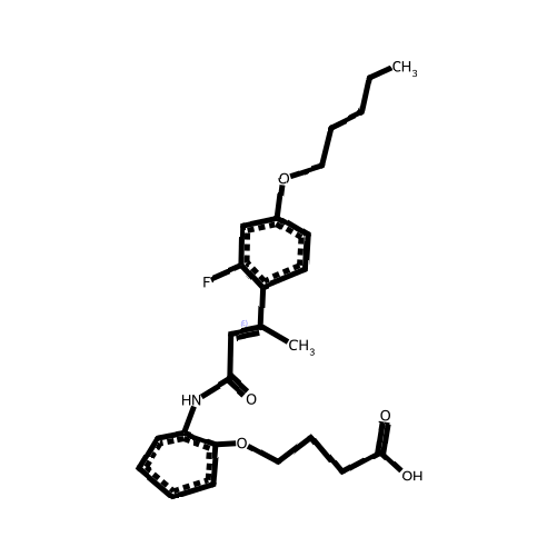 CCCCCOc1ccc(/C(C)=C/C(=O)Nc2ccccc2OCCCC(=O)O)c(F)c1